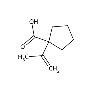 C=C(C)C1(C(=O)O)CCCC1